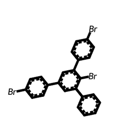 Brc1ccc(-c2cc(-c3ccccc3)c(Br)c(-c3ccc(Br)cc3)c2)cc1